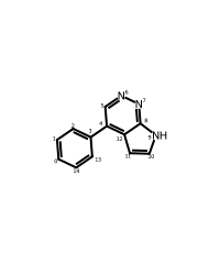 c1ccc(-c2cnnc3[nH]ccc23)cc1